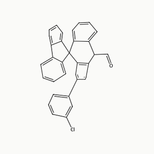 O=CC1c2ccccc2C2(c3ccccc3-c3ccccc32)c2cc(-c3cccc(Cl)c3)ccc21